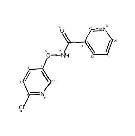 O=C(NOc1ccc(Cl)nc1)c1cccnc1